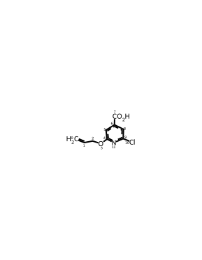 C=CCOc1cc(C(=O)O)cc(Cl)n1